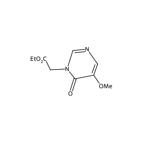 CCOC(=O)Cn1cncc(OC)c1=O